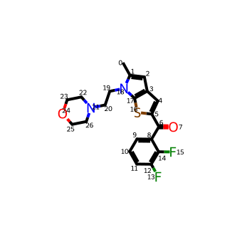 Cc1cc2cc(C(=O)c3cccc(F)c3F)sc2n1CCN1CCOCC1